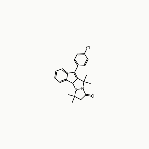 CC1(C)CC(=O)N2N1C1C(=C(c3ccc(Cl)cc3)c3ccccc31)C2(C)C